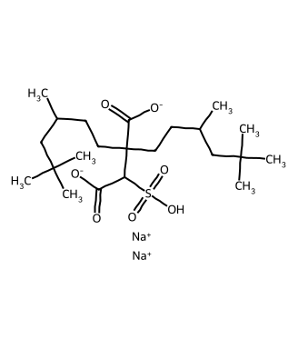 CC(CCC(CCC(C)CC(C)(C)C)(C(=O)[O-])C(C(=O)[O-])S(=O)(=O)O)CC(C)(C)C.[Na+].[Na+]